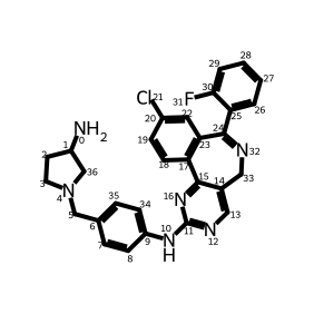 NC1CCN(Cc2ccc(Nc3ncc4c(n3)-c3ccc(Cl)cc3C(c3ccccc3F)=NC4)cc2)C1